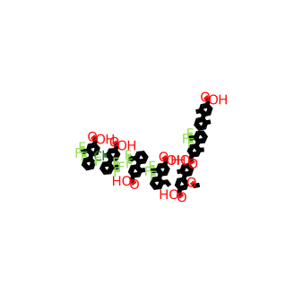 CCOc1cc(C(=O)O)ccc1-c1ccccc1C.CCc1ccccc1-c1ccc(C(=O)O)cc1C(F)(F)F.Cc1cc(C(=O)O)ccc1-c1ccccc1C(F)(F)F.Cc1cc(C(=O)O)ccc1-c1ccccc1C(F)F.Cc1ccccc1-c1ccc(C(=O)O)cc1C.O=C(O)c1ccc(-c2ccccc2C(F)(F)F)c(Cl)c1.O=C(O)c1ccc(-c2ccccc2F)c(C(F)(F)F)c1